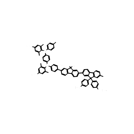 CCCCCCCCC1(CCCCCCCC)c2cc(-c3ccc(N(c4ccc(N(c5ccc(C)cc5)c5c(C)cc(C(C)(C)C)cc5C)cc4)c4c(C)cc(C(C)(C)C)cc4C)cc3)ccc2-c2ccc(-c3ccc4c(c3)C(c3ccc(CCCCCC)cc3)(c3ccc(CCCCCC)cc3)c3cc(C)ccc3-4)cc21